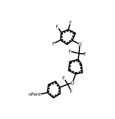 CCCCCc1ccc(C(F)(F)Oc2ccc(C(F)(F)Oc3cc(F)c(F)c(F)c3)cc2)cc1